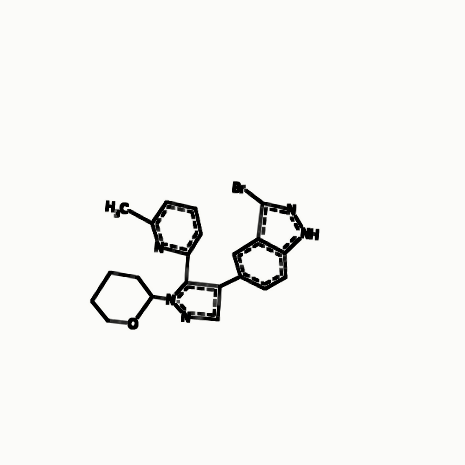 Cc1cccc(-c2c(-c3ccc4[nH]nc(Br)c4c3)cnn2C2CCCCO2)n1